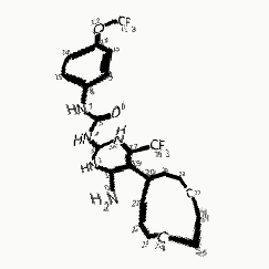 NC1NC(NC(=O)Nc2ccc(OC(F)(F)F)cc2)NC(C(F)(F)F)C1C1/C=C\CCCCCCC1